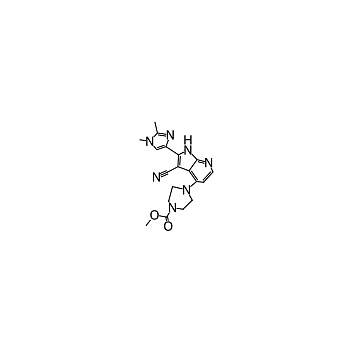 COC(=O)N1CCN(c2ccnc3[nH]c(-c4cn(C)c(C)n4)c(C#N)c23)CC1